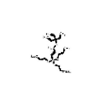 C=CC(C=C)(C=C)O[SiH2]C=C[Si](OCCOC)(OCCOC)OCCOC